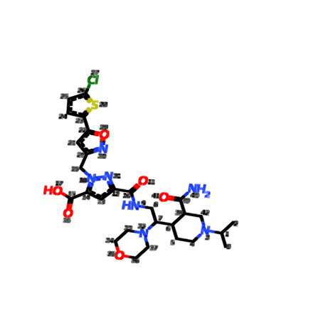 CC(C)N1CCC(C(CNC(=O)c2cc(C(=O)O)n(Cc3cc(-c4ccc(Cl)s4)on3)n2)N2CCOCC2)C(C(N)=O)C1